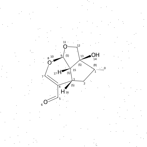 C[C@@H]1C[C@@H]2C(C=O)=CO[C@]3(C)OC[C@@]1(O)[C@H]23